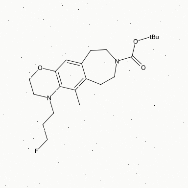 Cc1c2c(cc3c1N(CCCF)CCO3)CCN(C(=O)OC(C)(C)C)CC2